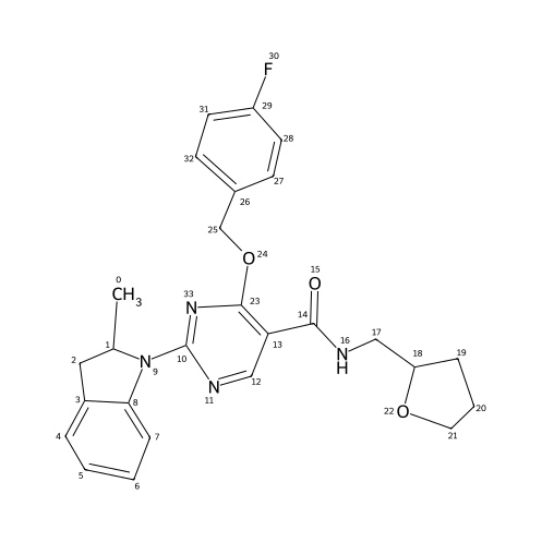 CC1Cc2ccccc2N1c1ncc(C(=O)NCC2CCCO2)c(OCc2ccc(F)cc2)n1